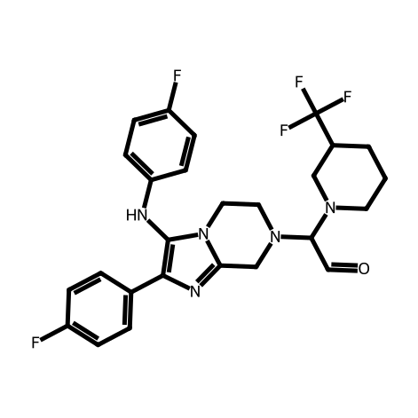 O=CC(N1CCn2c(nc(-c3ccc(F)cc3)c2Nc2ccc(F)cc2)C1)N1CCCC(C(F)(F)F)C1